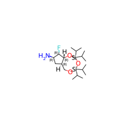 CC(C)[Si]1(C(C)C)OC[C@H]2C[C@@H](N)[C@@H](F)[C@@H]2O[Si](C(C)C)(C(C)C)O1